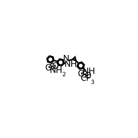 NS(=O)(=O)c1ccccc1-c1ccc2[nH]c(C3CC3c3ccc(NS(=O)(=O)C(F)(F)F)cc3)nc2c1